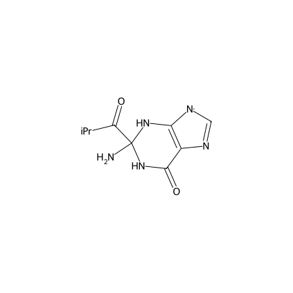 CC(C)C(=O)C1(N)NC(=O)C2=C([N]C=N2)N1